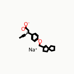 CC#C[C@@H](CC(=O)[O-])c1ccc(OCC2=CC3(CCCC3)CC2)cc1.[Na+]